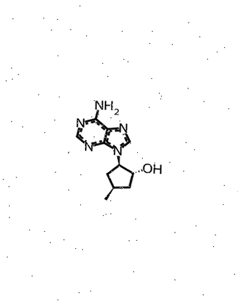 C[C@@H]1C[C@@H](O)[C@H](n2cnc3c(N)ncnc32)C1